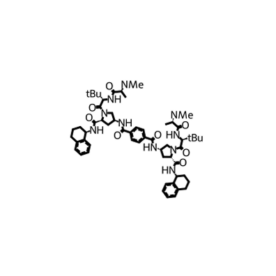 CN[C@@H](C)C(=O)N[C@H](C(=O)N1C[C@@H](NC(=O)c2ccc(C(=O)N[C@H]3C[C@@H](C(=O)N[C@@H]4CCCc5ccccc54)N(C(=O)[C@@H](NC(=O)[C@H](C)NC)C(C)(C)C)C3)cc2)C[C@H]1C(=O)N[C@H]1CCCc2ccccc21)C(C)(C)C